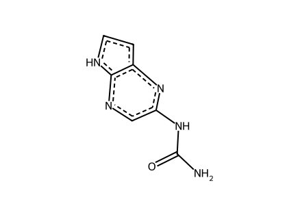 NC(=O)Nc1cnc2[nH]ccc2n1